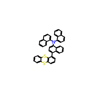 c1ccc2c(c1)Sc1cccc(-c3ccc(N(c4cccc5ccccc45)c4cccc5ccccc45)c4ccccc34)c1S2